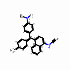 C#CNc1ccc(C(c2ccc(N(CC)CC)cc2)=c2ccc(=C)cc2)c2ccccc12